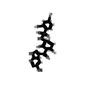 N#Cc1cnc2[nH]cc(C(=O)c3c(F)ccc(NS(=O)(=O)c4ccc(F)cc4F)c3F)c2c1